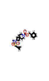 CN(C1CC2(CCN(C(=O)OCc3ccccc3)CC2)C1)S(=O)(=O)CC1CC1